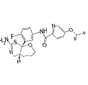 NC1=NC[C@H]2CCCO[C@@]2(c2cc(NC(=O)c3ccc(OC(F)F)cn3)ccc2F)S1